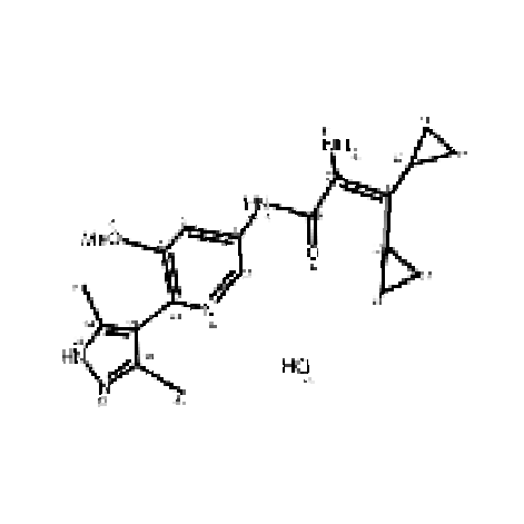 COc1cc(NC(=O)C(N)=C(C2CC2)C2CC2)cnc1-c1c(C)n[nH]c1C.Cl